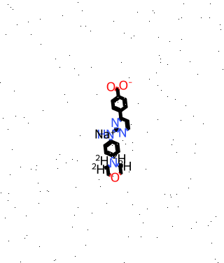 [2H]C1([2H])COCC([2H])([2H])N1c1ccc(Nc2nccc(-c3ccc(C(=O)[O-])cc3)n2)cc1.[Na+]